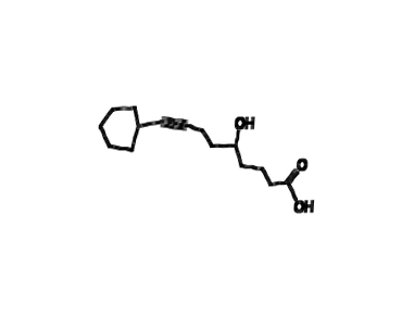 O=C(O)CCCC(O)CCC#CC1CCCCC1